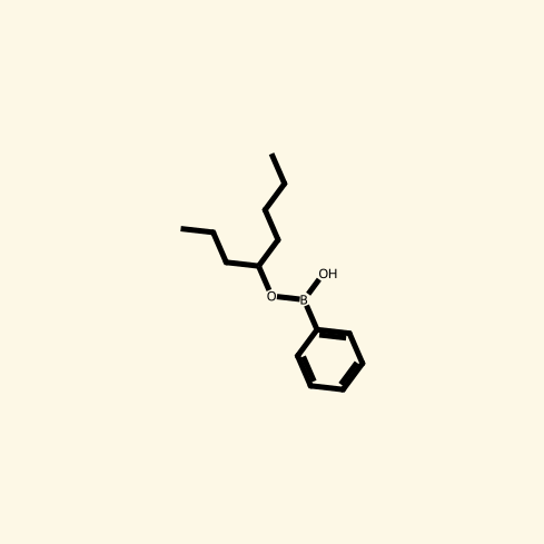 CCCCC(CCC)OB(O)c1ccccc1